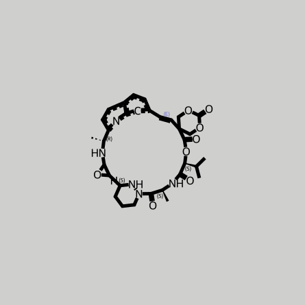 CC(C)[C@@H]1OC(=O)C2(/C=C/c3ccc4ccc(nc4c3)[C@@H](C)NC3OC3[C@@H]3CCCN(N3)C(=O)[C@H](C)NC1=O)COC(=O)OC2